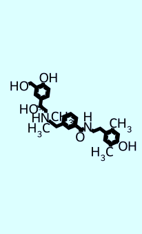 Cc1cc(CCNC(=O)c2cccc(CC(C)(C)NC[C@@H](O)c3ccc(O)c(CO)c3)c2)c(C)cc1O